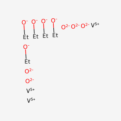 CC[O-].CC[O-].CC[O-].CC[O-].CC[O-].[O-2].[O-2].[O-2].[O-2].[O-2].[V+5].[V+5].[V+5]